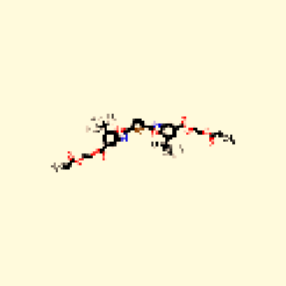 C=CC(=O)OCCOC(=O)c1cc(C(C)(C)C)c2oc(-c3ccc(-c4nc5cc(C(=O)OCCOC(=O)C=C)cc(C(C)(C)C)c5o4)s3)nc2c1